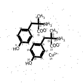 C[C@](N)(Cc1ccc(O)cc1)C(=O)[O-].C[C@](N)(Cc1ccc(O)cc1)C(=O)[O-].[Cu+2]